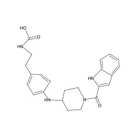 O=C(O)NCCc1ccc(NC2CCN(C(=O)c3cc4ccccc4[nH]3)CC2)cc1